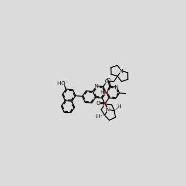 Cc1cc(C(=O)N2[C@@H]3CC[C@H]2CN(c2nc(OCC45CCCN4CCC5)nc4cc(-c5cc(O)cc6ccccc56)ccc24)C3)[nH]c(=O)n1